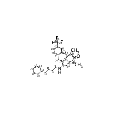 Cn1c(=O)c2c(nc(NCCCCc3ccccc3)n2Cc2ccc(C(F)(F)F)cc2)n(C)c1=O